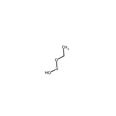 CC[O][V][OH]